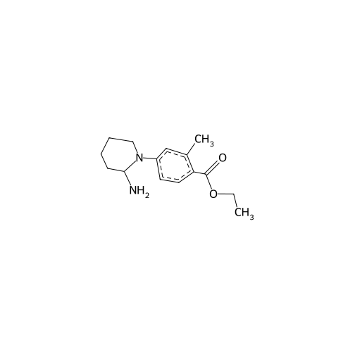 CCOC(=O)c1ccc(N2CCCCC2N)cc1C